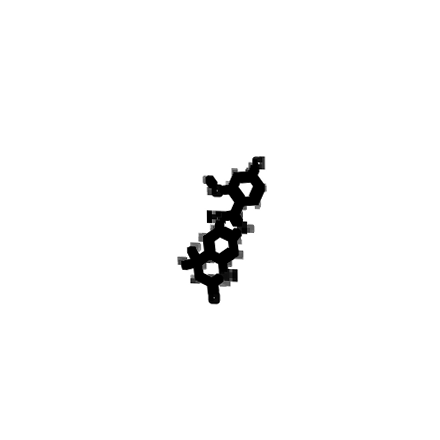 COc1cc(Cl)ccc1-c1nc2cc3c(cc2[nH]1)C(C)(C)CC(=O)N3